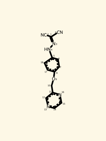 N#CC(C#N)=NNc1ccc(OCc2cnccn2)cc1